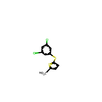 O=C(O)c1ccc(Sc2cc(Cl)cc(Cl)c2)s1